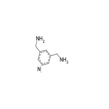 NCc1cccc(CN)c1.[N]